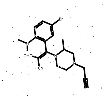 C#CCN1CCN(/C(=C(\C#N)C=O)c2cc(Br)ccc2N(C)C)C(C)C1